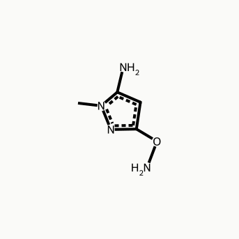 Cn1nc(ON)cc1N